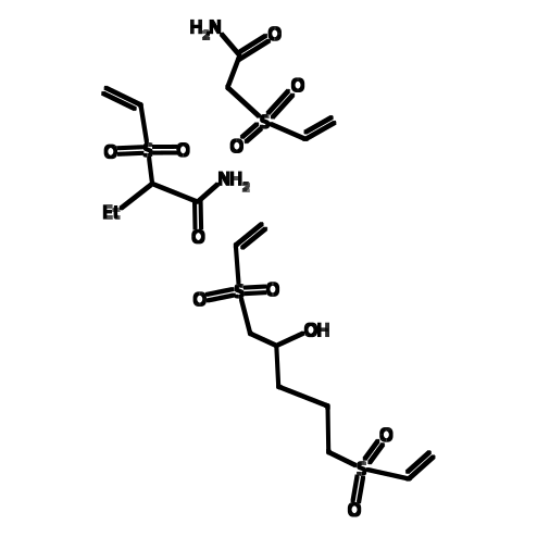 C=CS(=O)(=O)C(CC)C(N)=O.C=CS(=O)(=O)CC(N)=O.C=CS(=O)(=O)CCCC(O)CS(=O)(=O)C=C